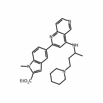 CCOC(=O)c1cc2cc(-c3cc(NC(C)CCN4CCCCC4)c4cnccc4n3)ccc2n1C